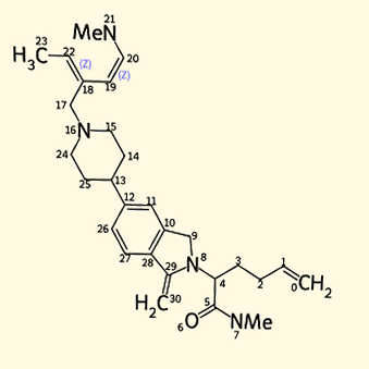 C=CCCC(C(=O)NC)N1Cc2cc(C3CCN(CC(/C=C\NC)=C\C)CC3)ccc2C1=C